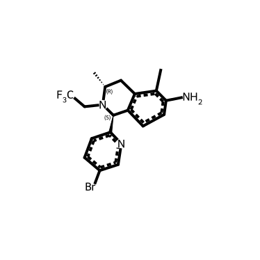 Cc1c(N)ccc2c1C[C@@H](C)N(CC(F)(F)F)[C@@H]2c1ccc(Br)cn1